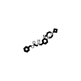 O=C(CNCC1=CC2N=C3CCN(C4CCC4)CCN3C2C=C1)OCc1ccccc1